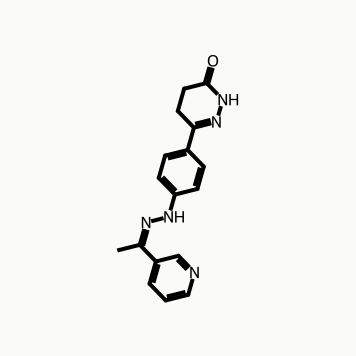 CC(=NNc1ccc(C2=NNC(=O)CC2)cc1)c1cccnc1